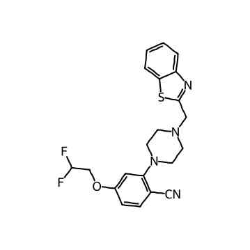 N#Cc1ccc(OCC(F)F)cc1N1CCN(Cc2nc3ccccc3s2)CC1